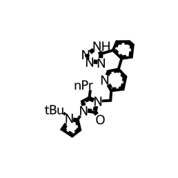 CCCc1cn(-c2cccn2C(C)(C)C)c(=O)n1Cc1ccc(-c2ccccc2-c2nnn[nH]2)cn1